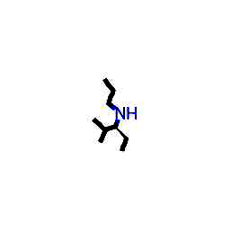 CCCN[C@@H](CC)C(C)C